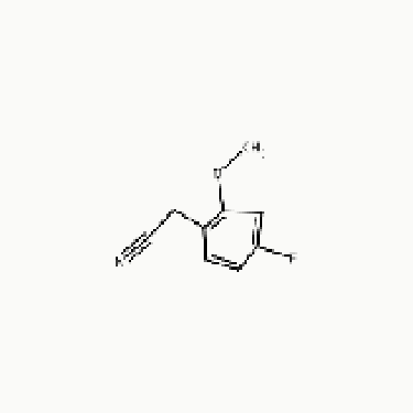 COc1cc(F)ccc1CC#N